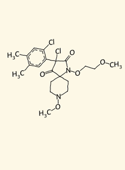 COCCON1C(=O)C(Cl)(c2cc(C)c(C)cc2Cl)C(=O)C12CCN(OC)CC2